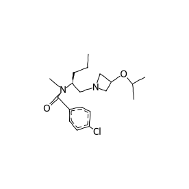 CCC[C@@H](CN1CC(OC(C)C)C1)N(C)C(=O)c1ccc(Cl)cc1